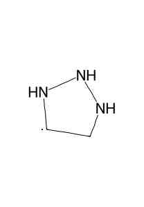 [CH]1CNNN1